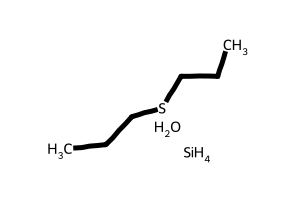 CCCSCCC.O.[SiH4]